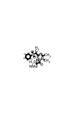 C=C(NC)C(=O)NN(C)C(C)/N=C(\S)C(C)S(=O)(=O)c1ccccc1